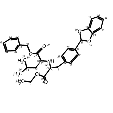 CCOC(=O)[C@H](Cc1ccc(C2Oc3ccccc3O2)cc1)N[C@@H](CC(C)C)C(=O)OCc1ccccc1